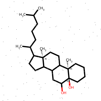 CC(C)CCCC(C)C1CCC2C3CC(O)[C@@]4(O)CCCC[C@]4(C)C3CC[C@]12C